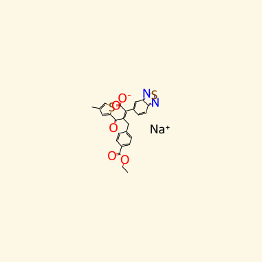 CCOC(=O)c1ccc(CC(C(=O)c2cc(C)cs2)=C(C(=O)[O-])c2ccc3nsnc3c2)cc1.[Na+]